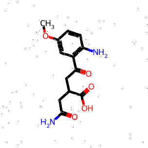 COc1ccc(N)c(C(=O)CC(CC(N)=O)C(=O)O)c1